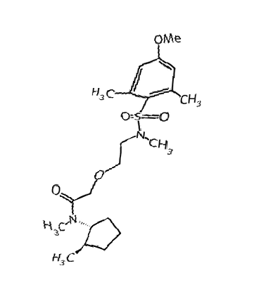 COc1cc(C)c(S(=O)(=O)N(C)CCOCC(=O)N(C)[C@@H]2CCC[C@H]2C)c(C)c1